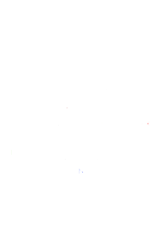 O=C(O)CC1(O)CCCn2c1c(Sc1ccc(Cl)cc1)c1c(Br)cc(F)cc12